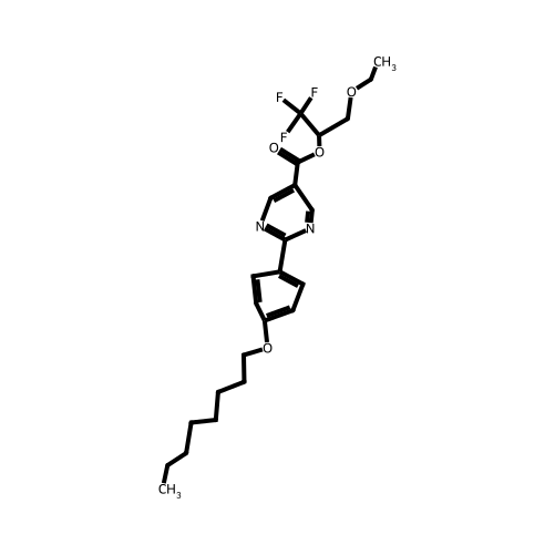 CCCCCCCCOc1ccc(-c2ncc(C(=O)OC(COCC)C(F)(F)F)cn2)cc1